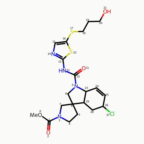 COC(=O)N1CCC2(C1)CN(C(=O)Nc1ncc(SCCCO)s1)C1C=CC(Cl)CC12